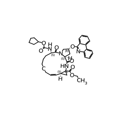 CCOC(=O)[C@@]12C[C@H]1C=CCCCCC[C@H](NC(=O)OC1CCCC1)C(=O)N1C[C@H](Oc3nc4ccccc4c4ccccc34)C[C@H]1C(=O)N2